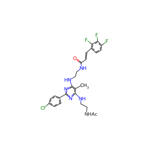 CC(=O)NCCNc1nc(-c2ccc(Cl)cc2)nc(NCCNC(=O)C=Cc2ccc(F)c(F)c2F)c1C